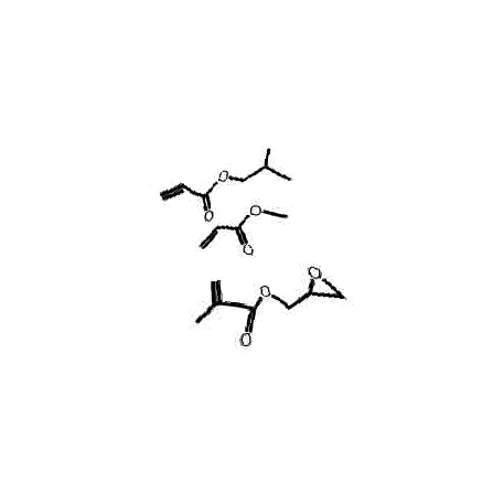 C=C(C)C(=O)OCC1CO1.C=CC(=O)OC.C=CC(=O)OCC(C)C